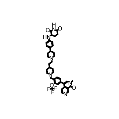 Cn1cc(-c2ccc(CN3CCC(CCN4CCC(c5ccc(NC6CCC(=O)NC6=O)cc5)CC4)CC3)c(OC(F)(F)F)c2)c2ccncc2c1=O